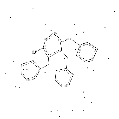 [O]c1ccc(Cc2ccccc2)c(Cc2ccccc2)c1Cc1ccccc1